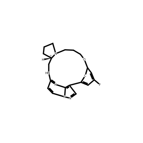 FC1=CC2CC(=C1)c1cnn3ccc(nc13)NC[C@@H]1CCCN1CCCO2